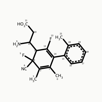 CC1=C(C)C(F)(C#N)C(C(N)CC(=O)O)C(F)=C1c1ccccc1C